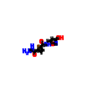 NNC(=O)c1ccc(C(=O)NCc2cc(O)no2)s1